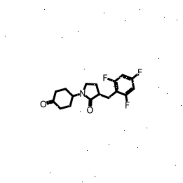 O=C1CCC(N2CCC(Cc3c(F)cc(F)cc3F)C2=O)CC1